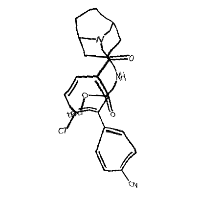 CC(C)(C)OC(=O)NC1CC2CCC(C1)N2C(=O)c1ccc(Cl)c(-c2ccc(C#N)cc2)c1